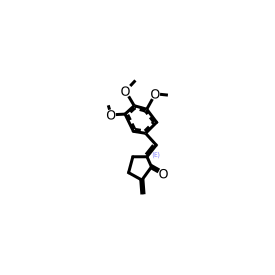 C=C1CC/C(=C\c2cc(OC)c(OC)c(OC)c2)C1=O